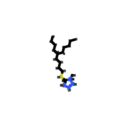 CCCCCC(CCCC)CCCCSc1nnnn1C